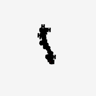 O=C(NC(c1ccccc1)c1cccc(OCc2ccc(C(=O)OCCN(CCCNCC(O)c3ccc(O)c4[nH]c(=O)ccc34)S(=O)(=O)c3ccccc3)cc2)c1)O[C@H]1CN2CCC1CC2